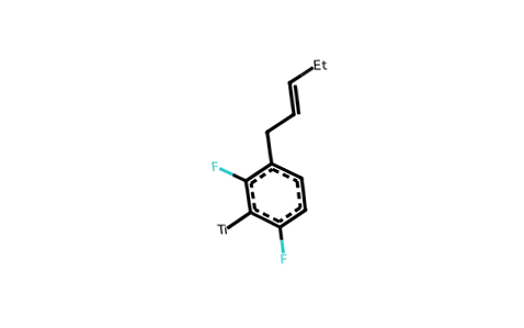 CCC=CCc1ccc(F)[c]([Ti])c1F